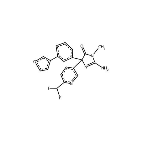 CN1C(=O)C(c2ccc(C(F)F)nc2)(c2cccc(-c3ccoc3)c2)N=C1N